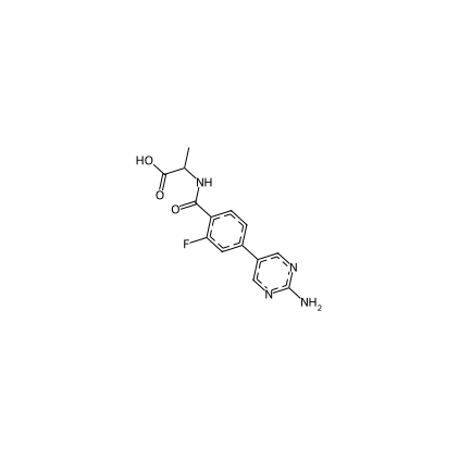 CC(NC(=O)c1ccc(-c2cnc(N)nc2)cc1F)C(=O)O